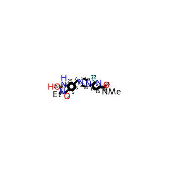 CCN1C(=O)c2ccc(CN3CCN(c4ccc(C(=O)NC)nc4F)CC3)cc2NC1O